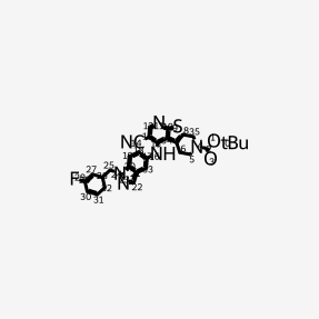 CC(C)(C)OC(=O)N1CCc2c(sc3ncc(C#N)c(Nc4ccc5c(cnn5CC5C=C(F)C=CC5)c4)c23)C1